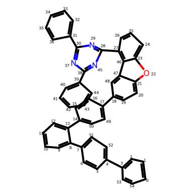 c1ccc(-c2ccc(-c3ccccc3-c3ccc(-c4ccc5oc6cccc(-c7nc(-c8ccccc8)nc(-c8ccccc8)n7)c6c5c4)cc3)cc2)cc1